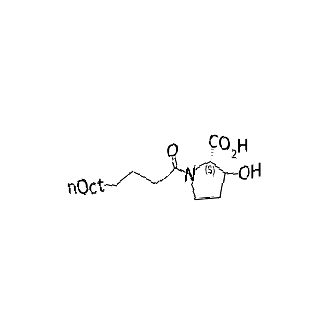 CCCCCCCCCCCC(=O)N1CCC(O)[C@H]1C(=O)O